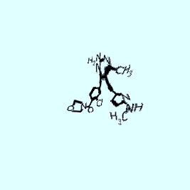 CNc1ccc(C#Cc2c(C)nc(N)nc2-c2ccc(C(=O)N3CCOCC3)c(Cl)c2)cn1